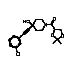 CC1(C)OCC(C(=O)N2CCC(O)(C#Cc3cccc(Cl)c3)CC2)O1